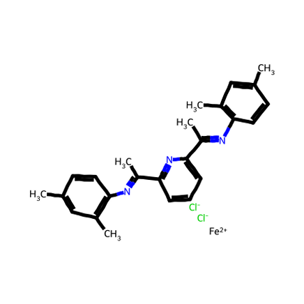 C/C(=N\c1ccc(C)cc1C)c1cccc(/C(C)=N/c2ccc(C)cc2C)n1.[Cl-].[Cl-].[Fe+2]